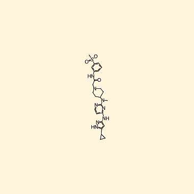 CN(c1nccc(Nc2cc(C3CC3)[nH]n2)n1)C1CCN(CC(=O)Nc2cccc(S(C)(=O)=O)c2)CC1